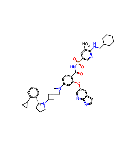 O=C(NS(=O)(=O)c1cnc(NCC2CCCCC2)c([N+](=O)[O-])c1)c1ccc(N2CC3(CC(N4CCC[C@@H]4c4ccccc4C4CC4)C3)C2)cc1Oc1cnc2[nH]ccc2c1